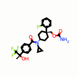 C[C@](O)(c1ccc(C(=O)N(C2CC2)[C@H]2CC[C@@](COC(N)=O)(c3ccccc3F)CC2)cc1)C(F)(F)F